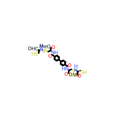 COC(=O)C(CSN[C@@H](CS)C(=O)S)NC(=O)c1ccc(-c2ccc(C(=O)NC(CSSN[C@H](C=O)CS)C(=O)OC)cc2)cc1